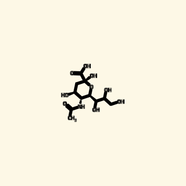 CC(=O)N[C@@H]1[C@@H](O)C[C@](O)(C(=O)O)O[C@H]1C(O)C(O)CO